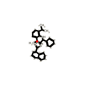 CC(C)c1cccc(C(C)C)c1NC(c1ccccc1)c1nc(-c2cccc3ccccc23)no1